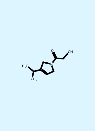 CC(C)C1=CCN(C(=O)CO)C1